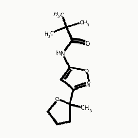 CC(C)(C)C(=O)Nc1cc(C2(C)CCCO2)no1